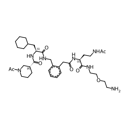 CC(=O)NCC[C@H](NC(=O)Cc1ccccc1CNC(=O)[C@H](CC1CCCCC1)NC(=O)[C@@H]1CCCN(C(C)=O)C1)C(=O)NCCOCCN